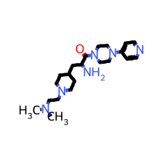 CN(C)CCN1CCC(CC(N)C(=O)N2CCN(c3ccncc3)CC2)CC1